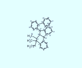 C=CC1(C)c2ccccc2N2c3ccccc3N(c3ccccc3-c3ccccc3)C2C1C